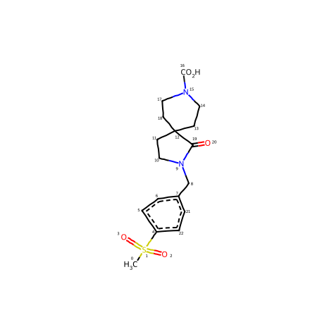 CS(=O)(=O)c1ccc(CN2CCC3(CCN(C(=O)O)CC3)C2=O)cc1